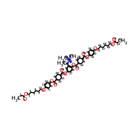 C=CC(=O)OCCCCCCOc1ccc(OC(=O)C2CCC(C(=O)Oc3ccc(OC(=O)C4CCC(C(=O)Oc5ccc(OCCCCCCOC(=O)C=C)cc5)CC4)c(/C(C)=N/N(C)C)c3)CC2)cc1